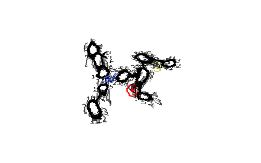 CC1(C)c2ccccc2-c2ccc(N(c3ccc(-c4ccccc4)cc3)c3ccc(-c4cc(-c5cccc6c5sc5ccccc56)cc5c4oc4ccccc45)cc3)cc21